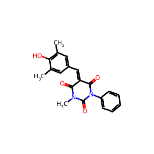 Cc1cc(C=C2C(=O)N(C)C(=O)N(c3ccccc3)C2=O)cc(C)c1O